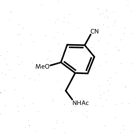 COc1cc(C#N)ccc1CNC(C)=O